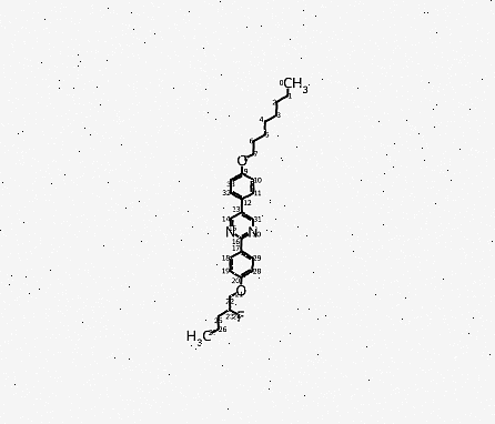 CCCCCCCCOc1ccc(-c2cnc(-c3ccc(OCC(F)CCC)cc3)nc2)cc1